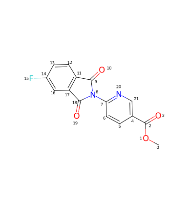 COC(=O)c1ccc(N2C(=O)c3ccc(F)cc3C2=O)nc1